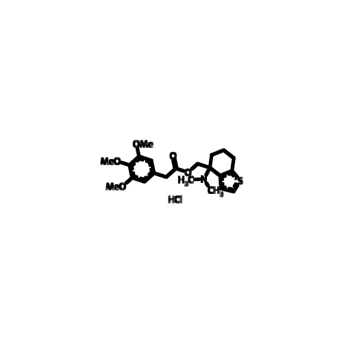 COc1cc(CC(=O)OCC2(N(C)C)CCCc3sccc32)cc(OC)c1OC.Cl